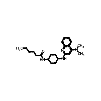 CCCCCC(=O)NC1CCC(Nc2cc(N(C)C)c3ccccc3n2)CC1